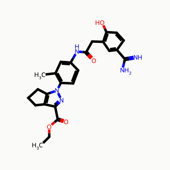 CCOC(=O)c1nn(-c2ccc(NC(=O)Cc3cc(C(=N)N)ccc3O)cc2C)c2c1CCC2